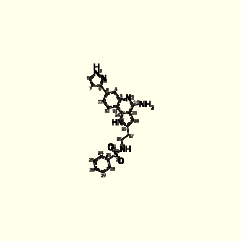 Nc1nc2cc(-c3cc[nH]n3)ccc2c2[nH]c(CCNS(=O)(=O)c3ccccc3)cc12